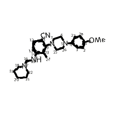 COc1ccc(N2CCN(c3c(C#N)ccc(NCN4CCCCC4)c3C)CC2)cc1